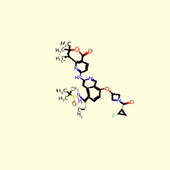 CC[C@H](N[S@@+]([O-])C(C)(C)C)c1ccc(OC2CN(C(=O)[C@@H]3C[C@@H]3F)C2)c2cnc(Nc3ccc4c(n3)[C@@H](C)C(C)(C)OC4=O)cc12